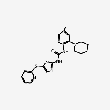 Cc1ccc(NC(=O)Nc2ncc(Sc3ccccn3)s2)c(N2CCCCC2)c1